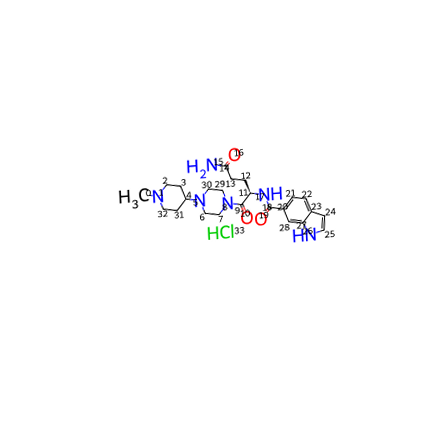 CN1CCC(N2CCN(C(=O)[C@@H](CCC(N)=O)NC(=O)c3ccc4cc[nH]c4c3)CC2)CC1.Cl